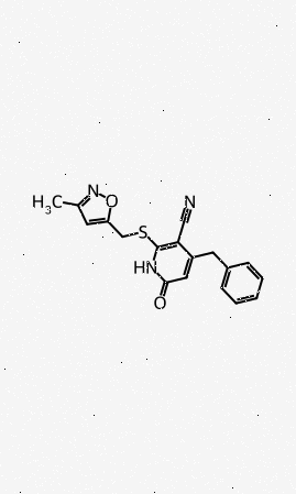 Cc1cc(CSc2[nH]c(=O)cc(Cc3ccccc3)c2C#N)on1